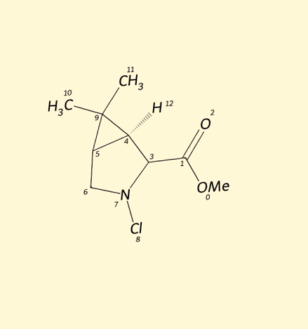 COC(=O)C1[C@H]2C(CN1Cl)C2(C)C